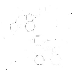 CCn1cnc2c(N3CCCC3=O)cc(C(=O)N[C@@H](Cc3ccccc3)[C@H](O)CNC3CCCCC3)cc21